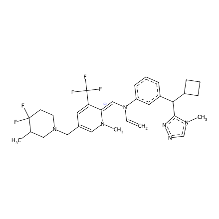 C=CN(/C=C1/C(C(F)(F)F)=CC(CN2CCC(F)(F)C(C)C2)=CN1C)c1cccc(C(c2nncn2C)C2CCC2)c1